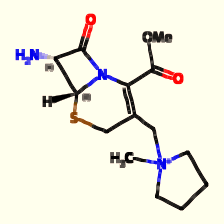 COC(=O)C1=C(C[N+]2(C)CCCC2)CS[C@@H]2[C@H](N)C(=O)N12